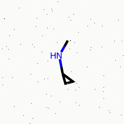 [CH2]NC1CC1